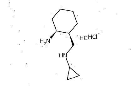 Cl.Cl.N[C@H]1CCCC[C@H]1CNC1CC1